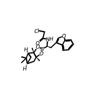 CC1(C)[C@H]2C[C@@H]1[C@]1(C)OB([C@H](Cc3coc4ccccc34)NC(=O)CCl)O[C@]1(C)C2